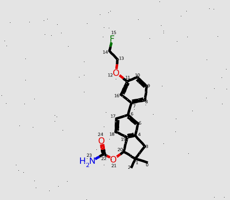 CC1(C)Cc2cc(-c3cccc(OCCF)c3)ccc2C1OC(N)=O